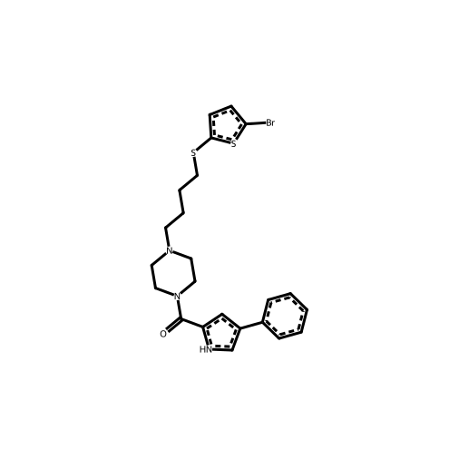 O=C(c1cc(-c2ccccc2)c[nH]1)N1CCN(CCCCSc2ccc(Br)s2)CC1